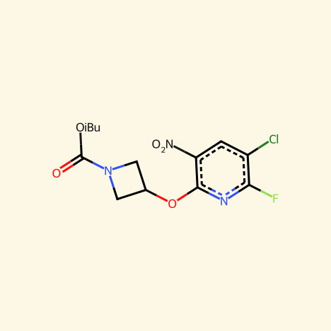 CC(C)COC(=O)N1CC(Oc2nc(F)c(Cl)cc2[N+](=O)[O-])C1